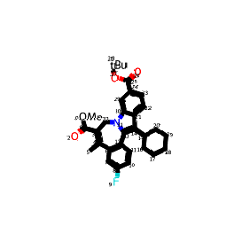 COC(=O)C1=C(C)c2cc(F)ccc2-c2c(C3CCCCC3)c3ccc(C(=O)OC(C)(C)C)cc3n2C1